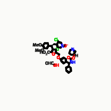 COc1ccc([C@H](Cc2c(Cl)c[n+]([O-])cc2Cl)c2cc(COc3ccc([C@H](NC(=O)O[C@H]4CN5CCC4CC5)c4ccccc4)cc3)oc2C(=O)O)cc1OC.O=CO